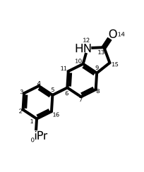 CC(C)c1cccc(-c2ccc3c(c2)NC(=O)C3)c1